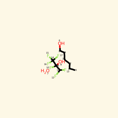 CCCCCCO.O.OC(F)(C(F)F)C(F)(F)F